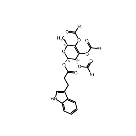 CCC(=O)OC1=C(OC(=O)CC)[C@H](OC(=O)CC)[C@H](OC(=O)CCc2c[nH]c3ccccc23)O[C@H]1C